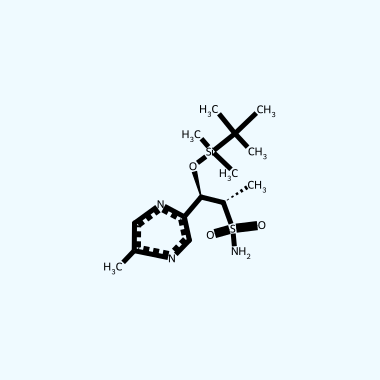 Cc1cnc([C@@H](O[Si](C)(C)C(C)(C)C)[C@H](C)S(N)(=O)=O)cn1